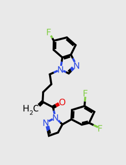 C=C(CCCn1cnc2ccc(F)cc21)C(=O)N1N=CCC1c1cc(F)cc(F)c1